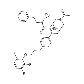 CC(=O)N1CC2CC(c3ccc(CCCOc4c(F)ccc(F)c4F)cc3)=C(C(=O)N(CCc3ccccc3)C3CC3)C(C1)N2